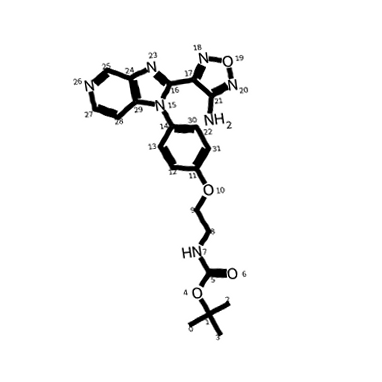 CC(C)(C)OC(=O)NCCOc1ccc(-n2c(-c3nonc3N)nc3cnccc32)cc1